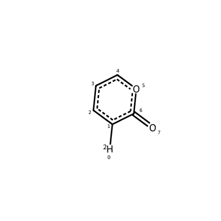 [2H]c1cccoc1=O